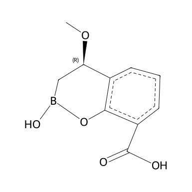 CO[C@@H]1CB(O)Oc2c(C(=O)O)cccc21